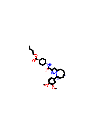 CCCCOC(=O)[C@H]1CC[C@H](NC(=O)c2cc3n(n2)/C(c2ccc(OC)c(OC)c2)=C\C=C/CC3)CC1